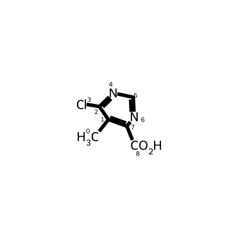 Cc1c(Cl)ncnc1C(=O)O